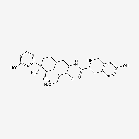 CCOC(=O)C(CN1CC[C@](C)(c2cccc(O)c2)[C@H](C)C1)NC(=O)[C@@H]1Cc2ccc(O)cc2CN1